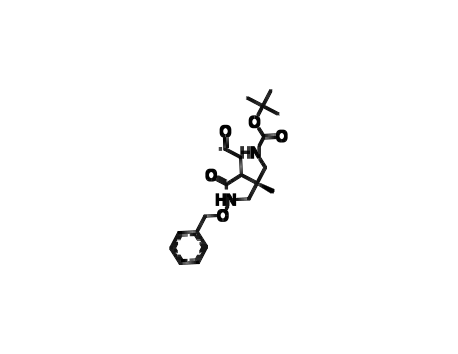 CC(C)(C)OC(=O)NC[C@](C)(CNOCc1ccccc1)C([C]=O)C[C]=O